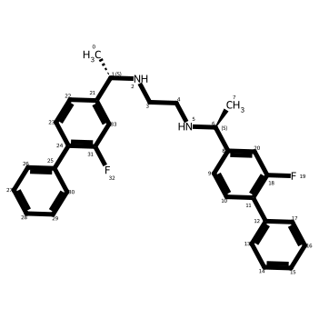 C[C@H](NCCN[C@@H](C)c1ccc(-c2ccccc2)c(F)c1)c1ccc(-c2ccccc2)c(F)c1